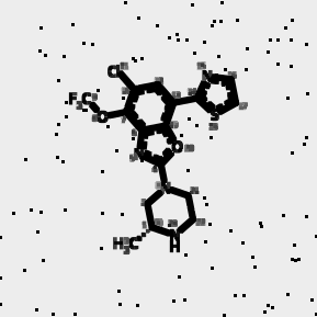 C[C@@H]1CN(c2nc3c(OC(F)(F)F)c(Cl)cc(-c4nccs4)c3o2)CCN1